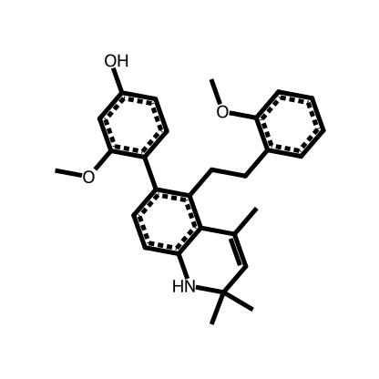 COc1ccccc1CCc1c(-c2ccc(O)cc2OC)ccc2c1C(C)=CC(C)(C)N2